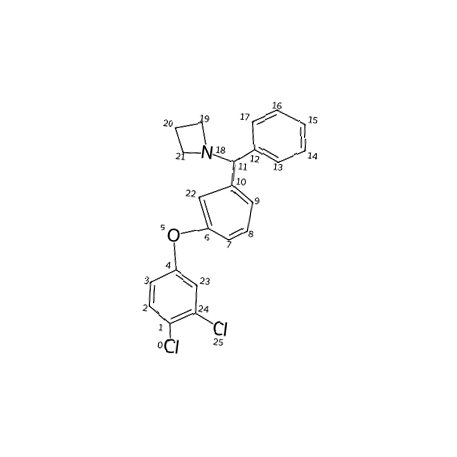 Clc1ccc(Oc2cccc(C(c3ccccc3)N3CCC3)c2)cc1Cl